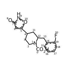 O=C(O)N1CCC(c2cc(=O)[nH]o2)CC1Cc1ccccc1F